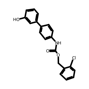 O=C(Nc1ccc(-c2cccc(O)c2)cc1)OCc1ccccc1Cl